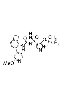 COc1cc(-c2ccc3c(c2NC(=O)N=[S@@](N)(=O)c2cnn4c2OC(C)(C)C4)CC3)ccn1